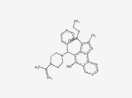 C=C(C)N1CCN(C(c2ccncc2)c2c(O)c3ccccc3c3oc(C)c(C(=O)OCC)c23)CC1